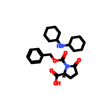 C1CCC(NC2CCCCC2)CC1.O=C(O)[C@@H]1CCC(=O)N1C(=O)OCc1ccccc1